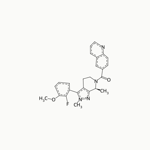 COc1cccc(-c2c3c(nn2C)[C@H](C)N(C(=O)c2ccc4ncccc4c2)CC3)c1F